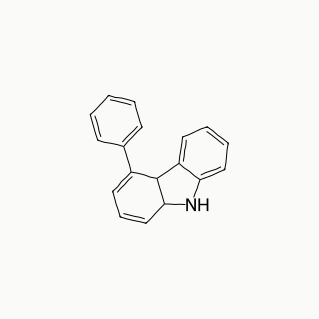 C1=CC2Nc3ccccc3C2C(c2ccccc2)=C1